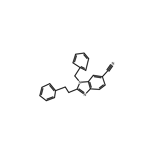 N#Cc1ccc2nc(CCc3ccccc3)n(Cc3ccccc3)c2c1